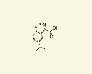 CI(C)c1ccc2ccnc(C(=O)O)c2c1